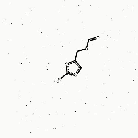 Nc1ncc(COC=O)s1